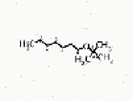 C[CH]CCCCCOC(C)(C)C